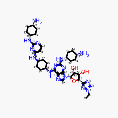 CCn1nnc([C@H]2O[C@@H](n3cnc4c(NC5CCC(Nc6ccnc(N[C@H]7CC[C@H](N)CC7)n6)CC5)nc(N[C@H]5CC[C@H](N)CC5)nc43)[C@H](O)[C@@H]2O)n1